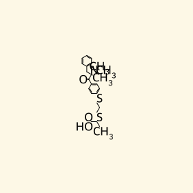 CCC(SCCCSc1ccc(C(=O)C(C)(Cc2ccccc2)N(C)C)cc1)C(=O)O